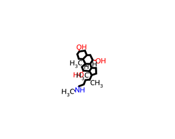 CNCCC[C@H](C)C1CC[C@H]2C3[C@H](O)CC4C[C@H](O)CC[C@]4(C)[C@H]3C[C@H](O)[C@]12C